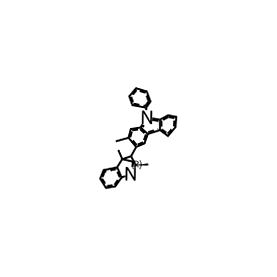 Cc1cc2c(cc1C1[C@@H](C)N3CC1(C)c1ccccc13)c1ccccc1n2-c1ccccc1